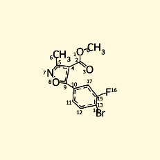 COC(=O)c1c(C)noc1-c1ccc(Br)c(F)c1